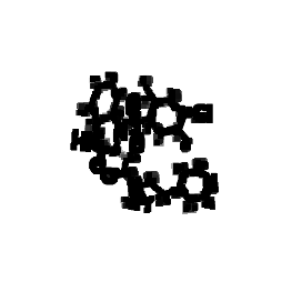 Cc1cc(S(=O)(=O)N2c3ccccc3NC(=O)[C@H]2CC(=O)N(CCc2ccncc2)C(C)C)c(C)cc1Cl